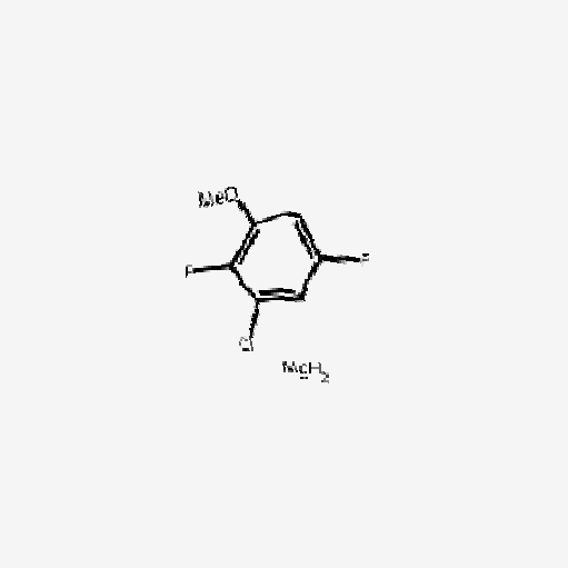 COc1cc(F)cc(Cl)c1F.[MgH2]